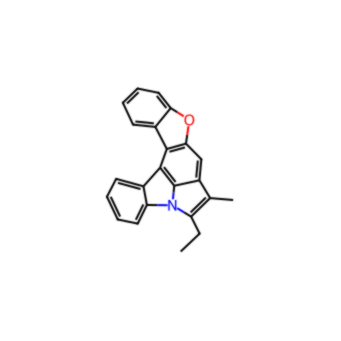 CCc1c(C)c2cc3oc4ccccc4c3c3c4ccccc4n1c23